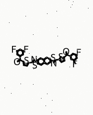 O=C(c1cc(F)cc(F)c1)c1ccc(-c2nc3cc4cc5sc(-c6ccc(C(=O)c7cc(F)cc(F)c7)s6)nc5cc4cc3s2)s1